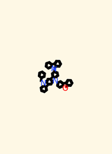 c1ccc(Cn2c3ccccc3c3cc4c(cc32)c2cc(-n3c5ccccc5c5ccccc53)ccc2n4-c2ccc3oc4ccccc4c3c2)cc1